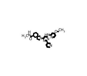 CCOc1ccnc(Nc2cc(N3CCC4(CCCC(C(=O)NC)C4)C3)nc(-c3cccnc3)n2)c1